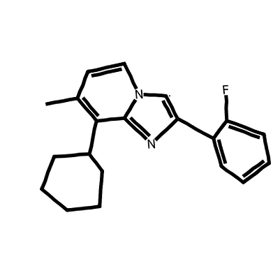 Cc1ccn2[c]c(-c3ccccc3F)nc2c1C1CCCCC1